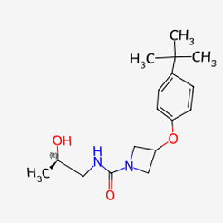 C[C@@H](O)CNC(=O)N1CC(Oc2ccc(C(C)(C)C)cc2)C1